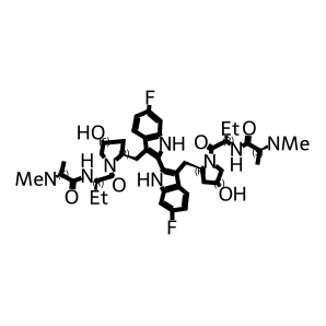 CC[C@@H](NC(=O)[C@H](C)NC)C(=O)N1C[C@@H](O)C[C@H]1Cc1c(-c2[nH]c3cc(F)ccc3c2C[C@@H]2C[C@H](O)CN2C(=O)[C@@H](CC)NC(=O)[C@H](C)NC)[nH]c2cc(F)ccc12